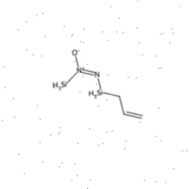 C=CC[SiH2]N=[N+]([O-])[SiH3]